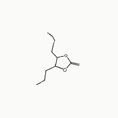 C=C1OC(CCC)C(CCC)O1